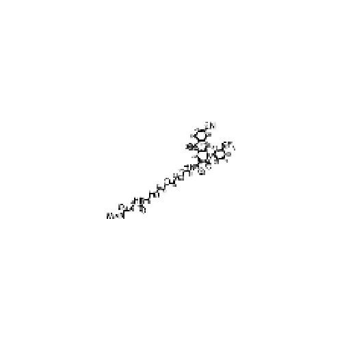 CNC(=O)CCC(=O)NCCOCCOCCOCCNC(=O)c1cc([S+]([O-])c2ccc(C#N)cc2)c(C)n(-c2cccc(C(F)(F)F)c2)c1=O